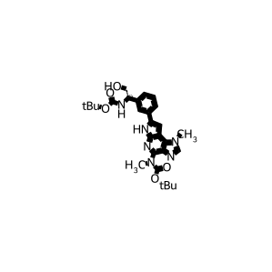 CN(C(=O)OC(C)(C)C)c1nc2[nH]c(-c3cccc([C@@H](CO)NC(=O)OC(C)(C)C)c3)cc2c2c1ncn2C